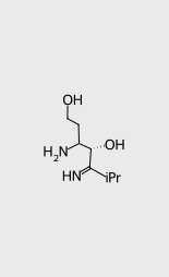 CC(C)C(=N)[C@@H](O)C(N)CCO